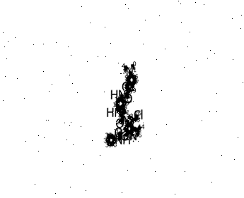 CCN(CC)c1ccc2cc(C(=O)Nc3ccc4[nH]c(C(=O)N5CC(CCl)=c6c5cc(OC(=O)Nc5ccccc5)c5c6=C(C)C[N]5)cc4c3)oc2c1